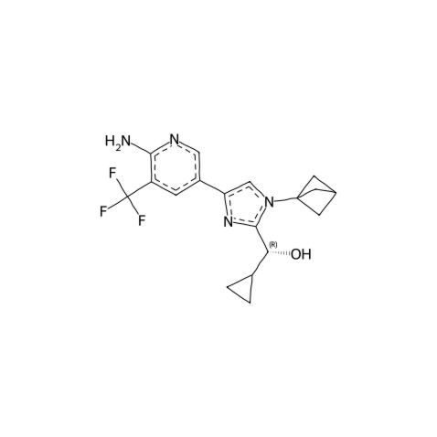 Nc1ncc(-c2cn(C34CC(C3)C4)c([C@H](O)C3CC3)n2)cc1C(F)(F)F